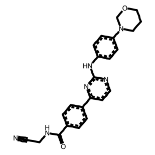 N#CCNC(=O)c1ccc(-c2ccnc(Nc3ccc(N4CCCOC4)cc3)n2)cc1